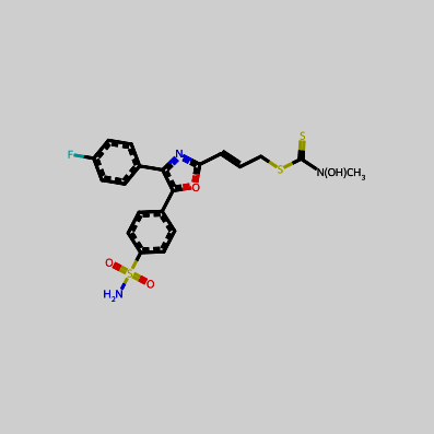 CN(O)C(=S)SCC=Cc1nc(-c2ccc(F)cc2)c(-c2ccc(S(N)(=O)=O)cc2)o1